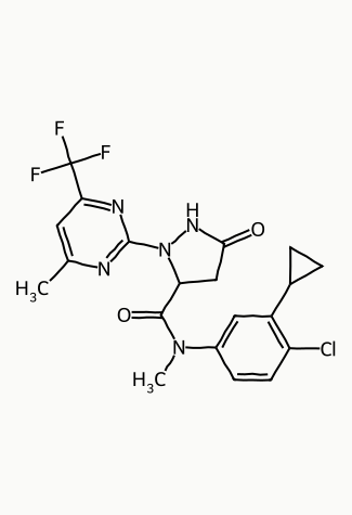 Cc1cc(C(F)(F)F)nc(N2NC(=O)CC2C(=O)N(C)c2ccc(Cl)c(C3CC3)c2)n1